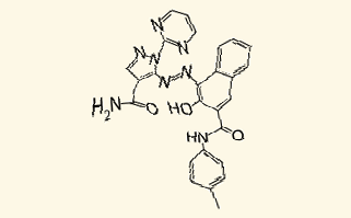 Cc1ccc(NC(=O)c2cc3ccccc3c(/N=N/c3c(C(N)=O)cnn3-c3ncccn3)c2O)cc1